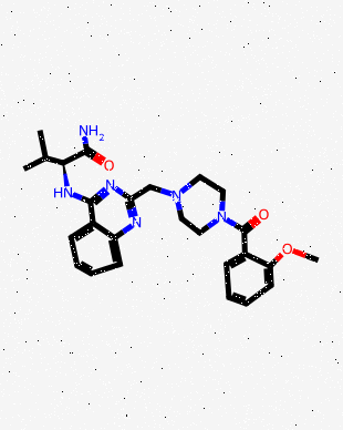 COc1ccccc1C(=O)N1CCN(Cc2nc(N[C@H](C(N)=O)C(C)C)c3ccccc3n2)CC1